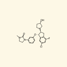 CN1CCN(c2cccc(O[C@H]3c4cc(Cl)cc(F)c4C[C@@H]3N3CC[C@@H](O)C3)c2)C1=O